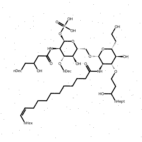 CCCCCC/C=C\CCCCCCCCCC(=O)N[C@H]1[C@H](OC[C@H]2O[C@H](OP(=O)(O)O)[C@H](NC(=O)CC(O)CCCCCCCCCCC)[C@@H](OCCCCCCCCCC)[C@@H]2O)O[C@H](CCO)[C@@H](O)[C@@H]1OCCC(O)CCCCCCC